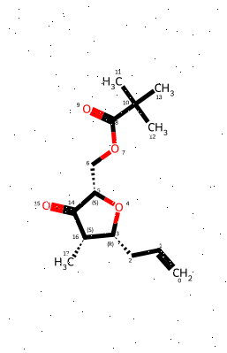 C=CC[C@H]1O[C@@H](COC(=O)C(C)(C)C)C(=O)[C@H]1C